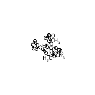 CC(COCC(COC(=O)ON1C(=O)CCC1=O)OCC(C)NC(=O)OC(C)N1C(=O)C=CC1=O)NC(=O)OC(C)N1C(=O)C=CC1=O